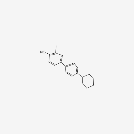 Cc1cc(-c2ccc(C3CCCCC3)cc2)ccc1C#N